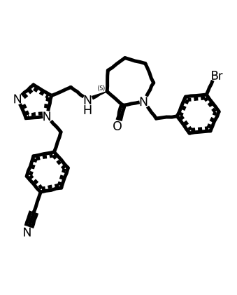 N#Cc1ccc(Cn2cncc2CN[C@H]2CCCCN(Cc3cccc(Br)c3)C2=O)cc1